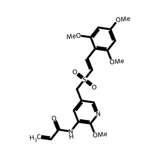 C=CC(=O)Nc1cc(CS(=O)(=O)/C=C/c2c(OC)cc(OC)cc2OC)cnc1OC